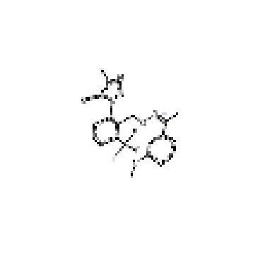 COc1cccc(/C(C)=N\OCc2c(-n3nnn(C)c3=O)cccc2C(F)(F)F)c1